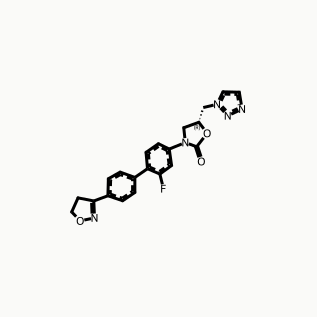 O=C1O[C@@H](Cn2ccnn2)CN1c1ccc(-c2ccc(C3=NOCC3)cc2)c(F)c1